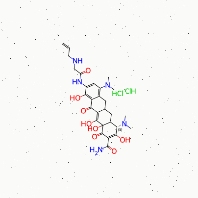 C=CCNCC(=O)Nc1cc(N(C)C)c2c(c1O)C(=O)C1=C(O)C3(O)C(=O)C(C(N)=O)=C(O)[C@@H](N(C)C)C3CC1C2.Cl.Cl